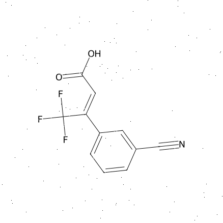 N#Cc1cccc(C(=CC(=O)O)C(F)(F)F)c1